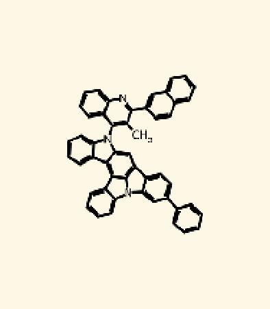 Cc1c(-c2ccc3ccccc3c2)nc2ccccc2c1-n1c2ccccc2c2c3c4ccccc4n4c5cc(-c6ccccc6)ccc5c(cc21)c34